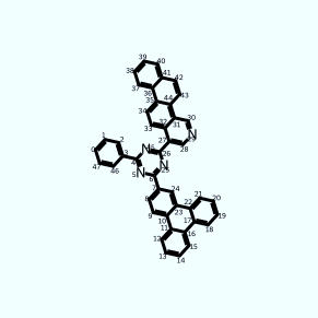 c1ccc(-c2nc(-c3ccc4c5ccccc5c5ccccc5c4c3)nc(-c3cncc4c3ccc3c5ccccc5ccc43)n2)cc1